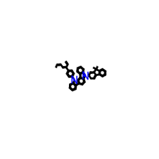 C=C/C(=C\C=C/C)c1ccc(-n2c3ccccc3c3ccc4c(c5ccccc5n4C4C=C5C(=CC4)c4ccccc4C5(C)C)c32)cc1